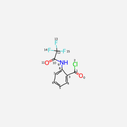 O=C(Cl)c1ccccc1NC(=O)C(F)(F)F